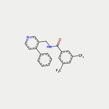 O=C(NCc1cnccc1-c1ccccc1)c1cc(C(F)(F)F)cc(C(F)(F)F)c1